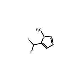 FC(F)c1[c]n[c]n1C(F)(F)F